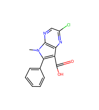 Cn1c(-c2ccccc2)c(C(=O)O)c2nc(Cl)cnc21